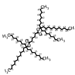 CCCCCCCCCCCC(CCCCCCCC)(CCCCCCCC)OC(=O)CCCCC(=O)OC(CCCCCCCC)(CCCCCCCC)CCCCCCCCCCC